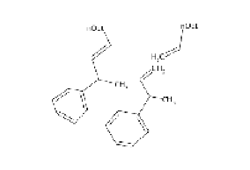 C=CC(C)c1ccccc1.C=CCCCCCCCC.CCCCCCCCC=CC(C)c1ccccc1